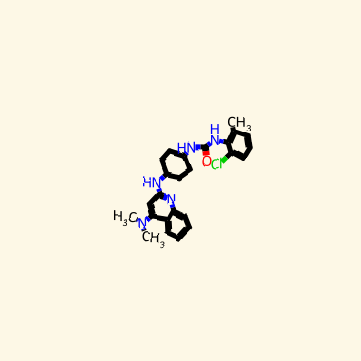 Cc1cccc(Cl)c1NC(=O)NC1CCC(Nc2cc(N(C)C)c3ccccc3n2)CC1